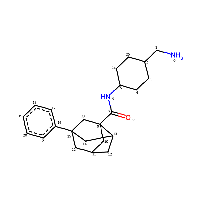 NCC1CCC(NC(=O)C23CC4CC2CC(c2ccccc2)(C4)C3)CC1